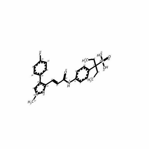 CCC(CC)(c1ccc(NC(=O)/C=C/c2nn(C)cc2-c2ccc(F)cc2)cc1)P(=O)(O)O